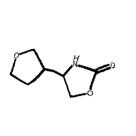 O=C1NC(C2CCOC2)CO1